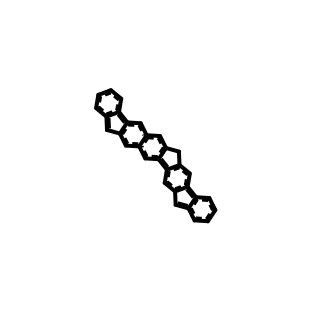 C1=c2ccccc2=c2cc3c(cc21)=c1cc2cc4c(cc2cc1C3)=c1ccccc1=C4